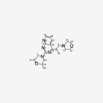 CC1CN(c2nc(C(C)CN3CCOCC3)c3cccnc3n2)CC(C)O1